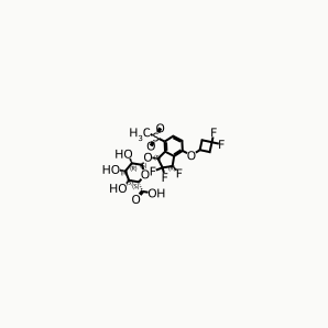 CS(=O)(=O)c1ccc(OC2CC(F)(F)C2)c2c1[C@H](O[C@@H]1O[C@H](C(=O)O)[C@@H](O)[C@@H](O)[C@H]1O)C(F)(F)[C@@H]2F